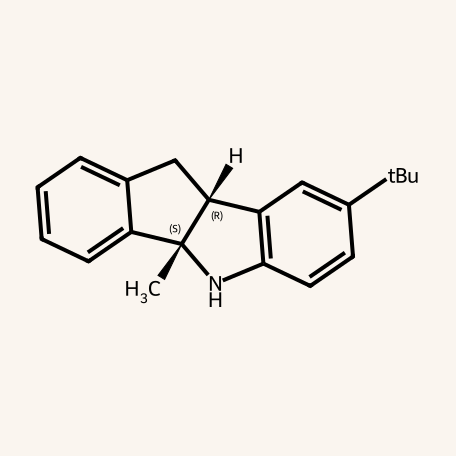 CC(C)(C)c1ccc2c(c1)[C@H]1Cc3ccccc3[C@@]1(C)N2